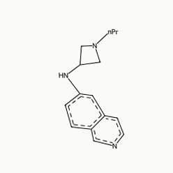 CCCN1CC(Nc2ccc3cnccc3c2)C1